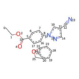 CCOC(=O)c1ccc(-n2cc(C#N)cn2)cc1.c1cc2cc(c1)OC2